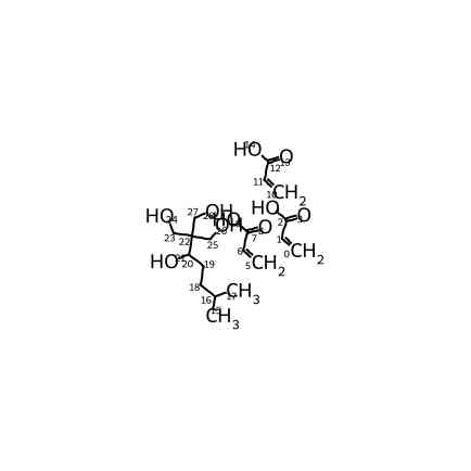 C=CC(=O)O.C=CC(=O)O.C=CC(=O)O.CC(C)CCC(O)C(CO)(CO)CO